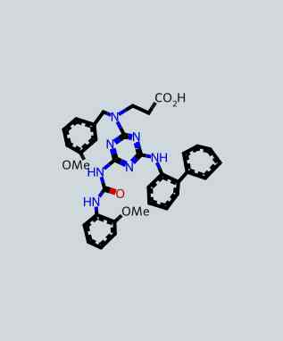 COc1cccc(CN(CCC(=O)O)c2nc(NC(=O)Nc3ccccc3OC)nc(Nc3ccccc3-c3ccccc3)n2)c1